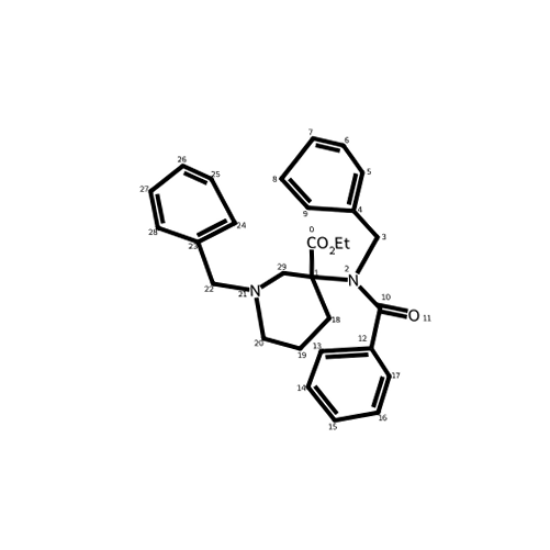 CCOC(=O)C1(N(Cc2ccccc2)C(=O)c2ccccc2)CCCN(Cc2ccccc2)C1